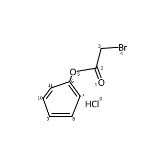 Cl.O=C(CBr)Oc1ccccc1